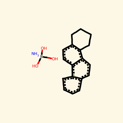 N.OB(O)O.c1ccc2c(c1)ccc1c3c(ccc12)CCCC3